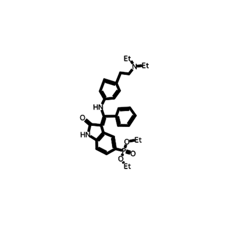 CCOP(=O)(OCC)c1ccc2c(c1)/C(=C(/Nc1ccc(CCN(CC)CC)cc1)c1ccccc1)C(=O)N2